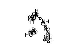 C[C@H](Cc1ccc(CCNC(=O)Cc2ccc(N(C)C(=O)CCN3CCC(OC(=O)Nc4ccccc4-c4ccccc4)CC3)cc2)cc1)NC[C@H](O)c1cc2cccc(O)c2[nH]c1=O.O=C(O)C(F)(F)F.O=C(O)C(F)(F)F